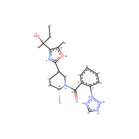 CCC(C)(O)c1nc(C2CC[C@@H](C)N(C(=O)c3ccccc3-n3ncnn3)C2)oc1C